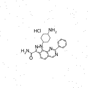 Cl.NC(=O)c1nn(C2CCC(N)CC2)c2c1ccc1cnc(-c3ccccc3)nc12